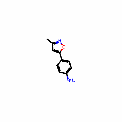 Cc1cc(-c2ccc(N)cc2)on1